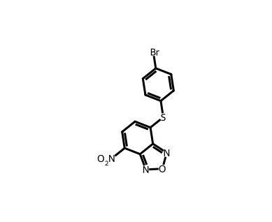 O=[N+]([O-])c1ccc(Sc2ccc(Br)cc2)c2nonc12